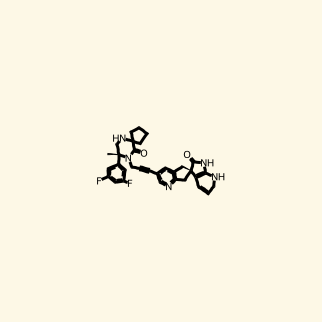 C[C@@]1(c2cc(F)cc(F)c2)CNC2(CCCC2)C(=O)N1CC#Cc1cnc2c(c1)C[C@@]1(C2)C(=O)NC2=C1C=CCN2